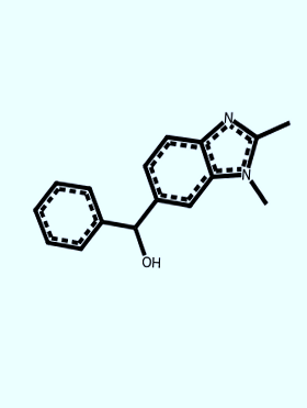 Cc1nc2ccc(C(O)c3ccccc3)cc2n1C